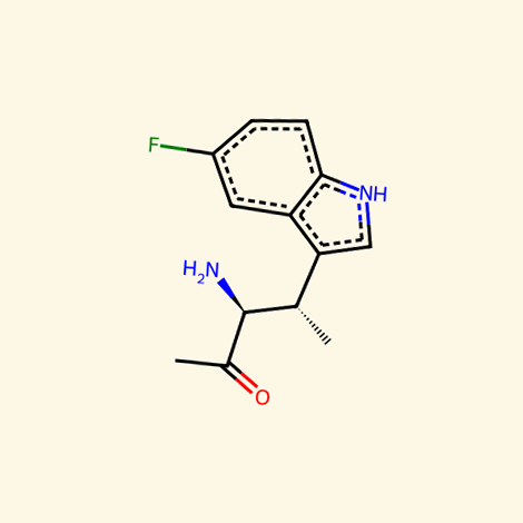 CC(=O)[C@@H](N)[C@@H](C)c1c[nH]c2ccc(F)cc12